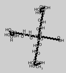 C[C@@H]1C(CO)O[C@H](OCCCCC(=O)NCCCNC(=O)CCOCC(COCCC(=O)NCCCNC(=O)CCCCO[C@H]2OC(CO)[C@@H](O)[C@H](O)C2O)(COCCC(=O)NCCCNC(=O)CCCCO[C@H]2OC(CO)[C@@H](O)C(O)[C@H]2O)NC(=O)CCCCCCCCCCC(=O)O)C(O)[C@H]1O